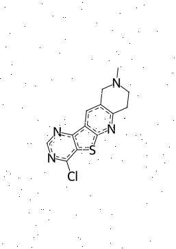 CN1CCc2nc3sc4c(Cl)ncnc4c3cc2C1